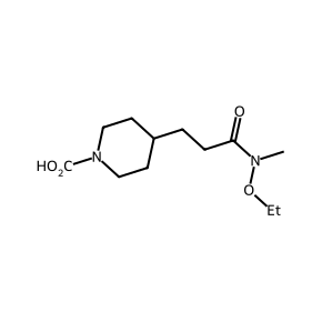 CCON(C)C(=O)CCC1CCN(C(=O)O)CC1